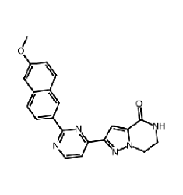 COc1ccc2cc(-c3nccc(-c4cc5n(n4)CCNC5=O)n3)ccc2c1